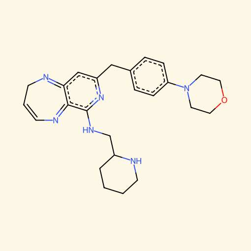 C1=CN=c2c(NCC3CCCCN3)nc(Cc3ccc(N4CCOCC4)cc3)cc2=NC1